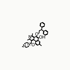 Cc1ccc2c(c1)c(O)c(OCCC(c1ccccc1)c1ccccc1)c1c(C)nc(C)c(C(=O)N3CCN(C)CC3)c12